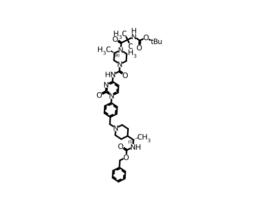 C[C@H](NC(=O)OCc1ccccc1)C1CCN(Cc2ccc(-n3ccc(NC(=O)N4CCN(C(=O)C(C)(C)NC(=O)OC(C)(C)C)[C@H](C)C4)nc3=O)cc2)CC1